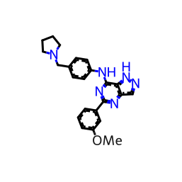 COc1cccc(-c2nc(Nc3ccc(CN4CCCC4)cc3)c3[nH]ncc3n2)c1